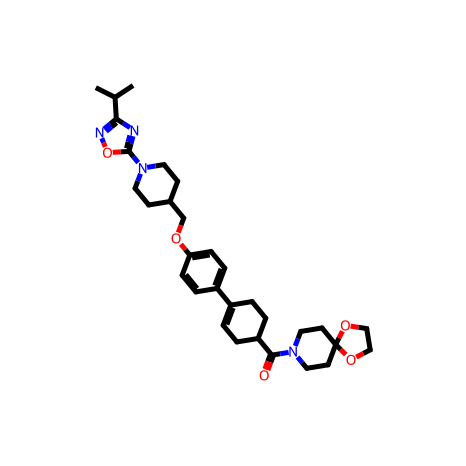 CC(C)c1noc(N2CCC(COc3ccc(C4=CCC(C(=O)N5CCC6(CC5)OCCO6)CC4)cc3)CC2)n1